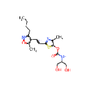 CCCCc1noc(C)c1/C=C/c1nc(C)c(OC(=O)NC(CO)CO)s1